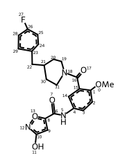 COc1ccc(NC(=O)c2cc(O)no2)cc1C(=O)N1CCC(Cc2ccc(F)cc2)CC1